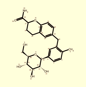 Cc1ccc([C@@H]2O[C@H](CO)[C@@H](O)[C@H](O)[C@H]2O)cc1Cc1ccc2c(c1)CCC(C(N)=O)O2